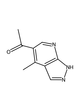 CC(=O)c1cnc2[nH]ncc2c1C